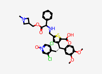 COc1ccc([C@H](Cc2c(Cl)c[n+]([O-])cc2Cl)c2cc(CNC(C(=O)OCC3CN(C)C3)c3ccccc3)sc2C(=O)O)cc1OC